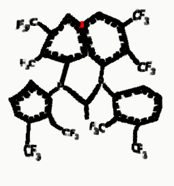 CC(P(c1cccc(C(F)(F)F)c1C(F)(F)F)c1cccc(C(F)(F)F)c1C(F)(F)F)P(c1cccc(C(F)(F)F)c1C(F)(F)F)c1cccc(C(F)(F)F)c1C(F)(F)F